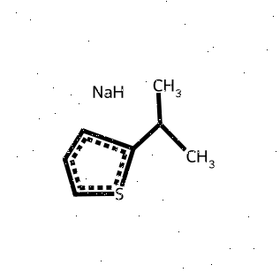 CC(C)c1cccs1.[NaH]